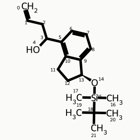 C=CCC(O)c1cccc2c1CC[C@@H]2O[Si](C)(C)C(C)(C)C